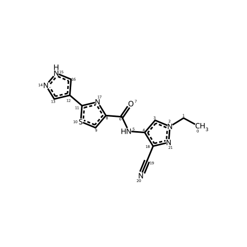 CCn1cc(NC(=O)c2csc(-c3cn[nH]c3)n2)c(C#N)n1